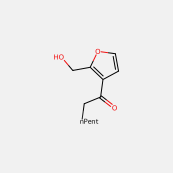 CCCCCCC(=O)c1ccoc1CO